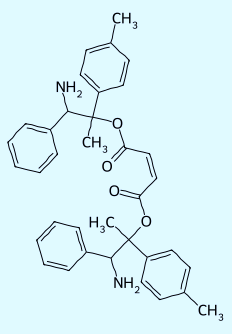 Cc1ccc(C(C)(OC(=O)/C=C\C(=O)OC(C)(c2ccc(C)cc2)C(N)c2ccccc2)C(N)c2ccccc2)cc1